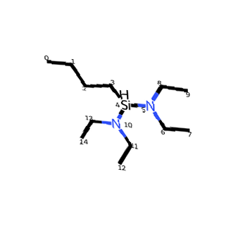 CCCC[SiH](N(CC)CC)N(CC)CC